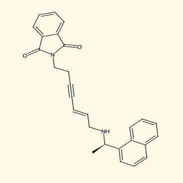 C[C@@H](NC/C=C/C#CCCN1C(=O)c2ccccc2C1=O)c1cccc2ccccc12